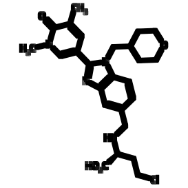 Cc1cc(-c2nc3cc(CN[C@@H](CCCl)C(=O)O)ccc3n2CC2CCOCC2)cn(C)c1=O